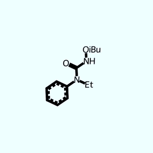 CCN(C(=O)NOCC(C)C)c1ccccc1